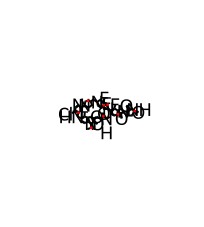 CNC(=O)COc1cc2c(F)c(Nc3cc(N4CCC(CN5CCC6(CN(c7ccc8c(c7F)CN(C7CCC(=O)NC7=O)C8=O)C6)C(F)(F)C5)CC4)ncc3Cl)ccc2n(C(C)C)c1=O